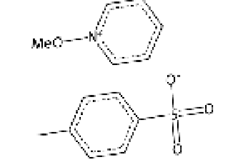 CO[n+]1ccccc1.Cc1ccc(S(=O)(=O)[O-])cc1